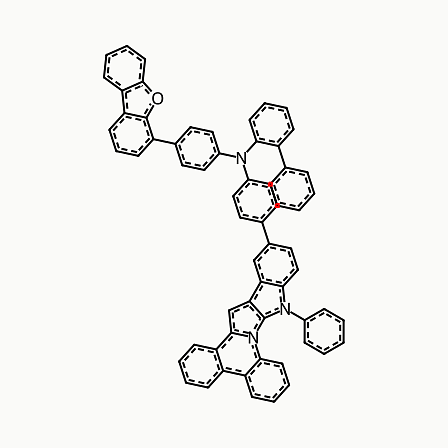 c1ccc(-c2ccccc2N(c2ccc(-c3ccc4c(c3)c3cc5c6ccccc6c6ccccc6n5c3n4-c3ccccc3)cc2)c2ccc(-c3cccc4c3oc3ccccc34)cc2)cc1